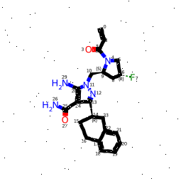 C=CC(=O)N1C[C@H](F)C[C@H]1Cn1nc([C@@H]2CCc3ccccc3C2)c(C(N)=O)c1N